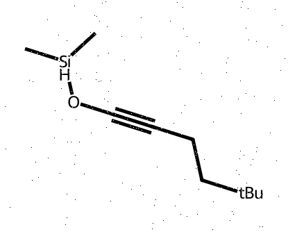 C[SiH](C)OC#CCCC(C)(C)C